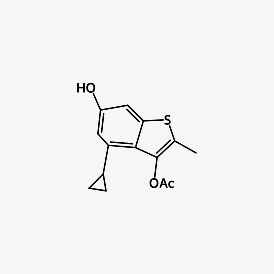 CC(=O)Oc1c(C)sc2cc(O)cc(C3CC3)c12